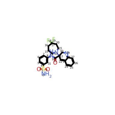 NS(=O)(=O)c1cccc(NC(=O)C2(N3CCCC(F)(F)CC3)C=c3ccccc3=NC2)c1